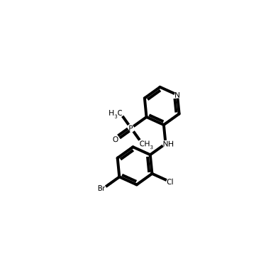 CP(C)(=O)c1ccncc1Nc1ccc(Br)cc1Cl